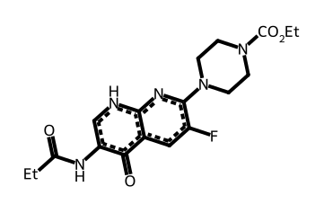 [CH2]CC(=O)Nc1c[nH]c2nc(N3CCN(C(=O)OCC)CC3)c(F)cc2c1=O